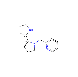 c1ccc(CN2CCC[C@H]2[C@@H]2CCCN2)nc1